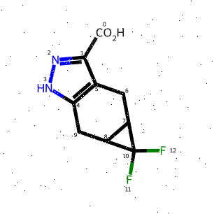 O=C(O)c1n[nH]c2c1CC1C(C2)C1(F)F